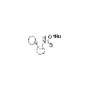 CC(C)(C)OC(=O)N[C@H]1CCCC[C@@H]1N1CCCCC1